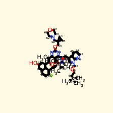 Cc1c(-c2cc(O)cc3ccc(F)c(C#C[Si](C(C)C)(C(C)C)C(C)C)c23)oc(=O)c2c(NCc3cn(COCC[Si](C)(C)C)c4ncccc34)nc(OCC3(CN4CCOCC4)CC3)nc12